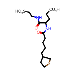 O=C(O)CCC(NC(=O)CCCCC1CCSC1)C(=O)NCCS(=O)(=O)O